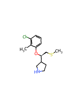 CSC[C@H](Oc1cccc(Cl)c1C)C1CCNC1